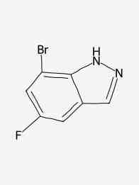 Fc1cc(Br)c2[nH]ncc2c1